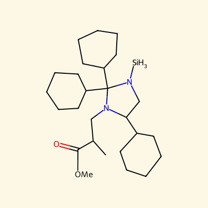 COC(=O)C(C)CN1C(C2CCCCC2)CN([SiH3])C1(C1CCCCC1)C1CCCCC1